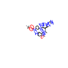 CC(=O)N(Cc1ccccc1)C(C)c1cnc(Nc2cnn(C)c2)nc1Nc1cccc(NC(=O)OC(C)(C)C)c1